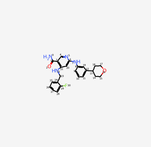 NC(=O)c1cnc(Nc2cccc(C3CCOCC3)c2)cc1NCc1ccccc1F